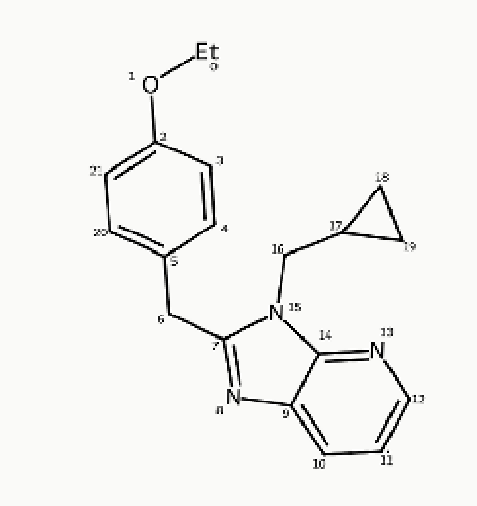 CCOc1ccc(Cc2nc3c[c]cnc3n2CC2CC2)cc1